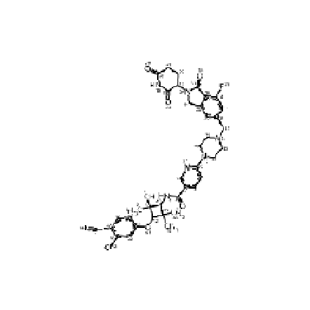 CC1(C)C(NC(=O)c2ccc(N3CCN(Cc4cc(F)c5c(c4)CN(C4CCC(=O)NC4=O)C5=O)CC3)nc2)C(C)(C)C1Oc1ccc(C#N)c(Cl)c1